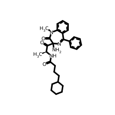 C[C@H](NC(=O)CCCC1CCCCC1)C(=O)C1(N)N=C(c2ccccc2)c2ccccc2N(C)C1=O